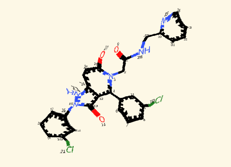 O=C(Cn1c(-c2cccc(Cl)c2)c2c(=O)n(-c3cccc(Cl)c3)[nH]c2cc1=O)NCc1ccccn1